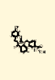 O=C(NO)c1ccc(Cn2c(=O)n(Cc3ccc(C(F)(F)F)cc3)c(=O)c3ccccc32)cc1